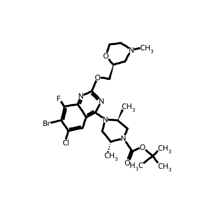 C[C@@H]1CN(c2nc(OC[C@@H]3CN(C)CCO3)nc3c(F)c(Br)c(Cl)cc23)[C@@H](C)CN1C(=O)OC(C)(C)C